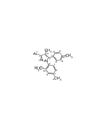 CC(=O)c1nn(-c2ccc(C)cc2C)c(-c2ccc(C)cc2)c1C